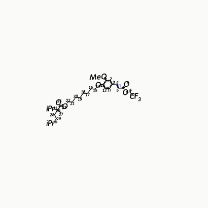 COc1cc(/C=C/C(=O)OCC(F)(F)F)ccc1OCCCCCCCCOC(=O)C(C)(CCC(C)C)C(C)C